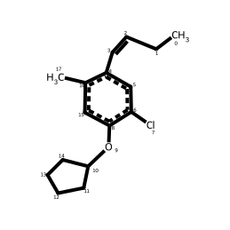 CC/C=C\c1cc(Cl)c(OC2CCCC2)cc1C